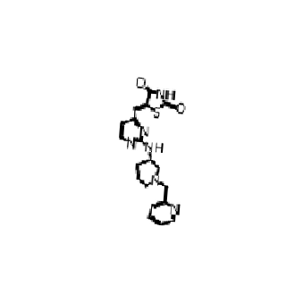 O=C1NC(=O)C(=Cc2ccnc(NC3CCCN(Cc4ccccn4)C3)n2)S1